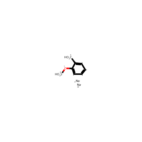 O=C(O)c1ccccc1OS(=O)(=O)O.[Na].[Na]